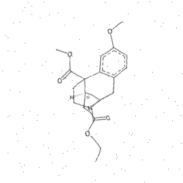 CCOC(=O)C[C@@H]1C2Cc3ccc(OC)cc3C1(C(=O)OC)CCN2C